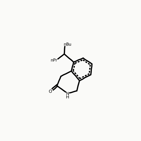 CCCCC(CCC)c1cccc2c1CC(=O)NC2